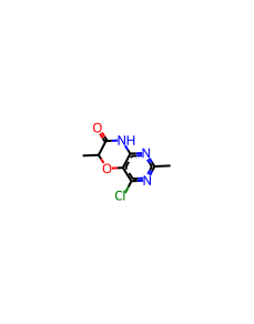 Cc1nc(Cl)c2c(n1)NC(=O)C(C)O2